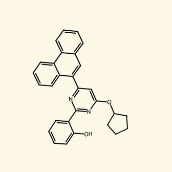 Oc1ccccc1-c1nc(OC2CCCC2)cc(-c2cc3ccccc3c3ccccc23)n1